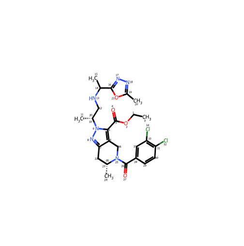 CCOC(=O)c1c2c(nn1[C@H](C)CNC(C)c1nnc(C)o1)C[C@@H](C)N(C(=O)c1ccc(Cl)c(Cl)c1)C2